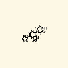 c1csc(-c2cnc(N3CCNCC3)c3nncn23)n1